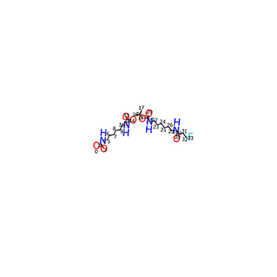 COC(=O)NCCCCCCNC(=O)OCC(C)OC(=O)NCCCCCCNC(=O)CCF